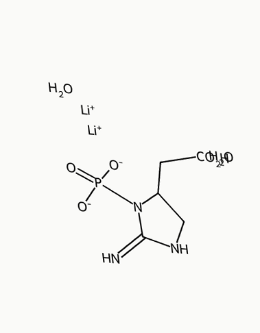 N=C1NCC(CC(=O)O)N1P(=O)([O-])[O-].O.O.[Li+].[Li+]